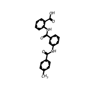 Cc1ccc(C(=O)Nc2cccc(C(=O)Nc3ccccc3C(=O)O)c2)cc1